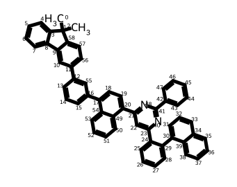 CC1(C)c2ccccc2-c2cc(-c3cccc(-c4ccc(-c5cc(-c6ccccc6-c6cccc7ccccc67)nc(-c6ccccc6)n5)c5ccccc45)c3)ccc21